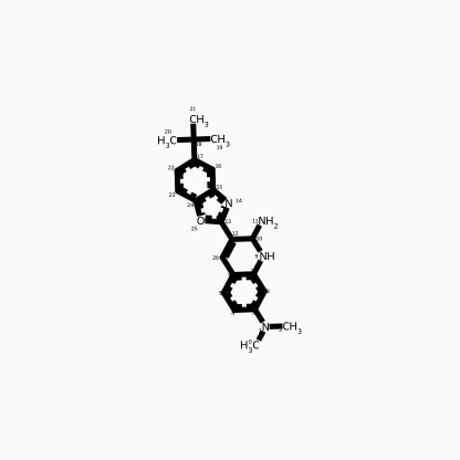 CN(C)c1ccc2c(c1)NC(N)C(c1nc3cc(C(C)(C)C)ccc3o1)=C2